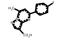 Cc1cc(-c2ccc(F)cc2)nc2c(C(=O)O)cnn12